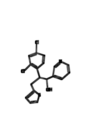 OC(c1cccnc1)C(Cc1cccs1)c1ccc(Cl)cc1Cl